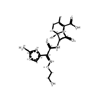 CC1=C(C(=O)O)N2C(=O)C(NC(=O)C(=NOCCO)c3csc(N)n3)[C@@H]2SC1